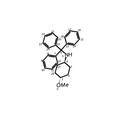 CO[C@H]1CC[C@H](NC(c2ccccc2)(c2ccccc2)c2ccccc2)CC1